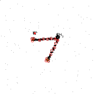 Cc1ccc(OCCOCCOCCOCCOCCCCS(=O)(=O)[O-])c(OCCOCCOCCOCCOCCCCS(=O)(=O)[O-])c1.[K+].[K+]